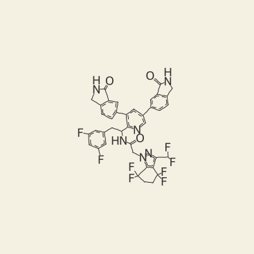 O=C(Cn1nc(C(F)F)c2c1C(F)(F)CCC2(F)F)NC(Cc1cc(F)cc(F)c1)c1ncc(-c2ccc3c(c2)C(=O)NC3)cc1-c1ccc2c(c1)C(=O)NC2